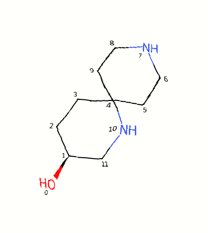 O[C@H]1CCC2(CCNCC2)NC1